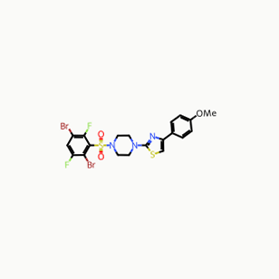 COc1ccc(-c2csc(N3CCN(S(=O)(=O)c4c(F)c(Br)cc(F)c4Br)CC3)n2)cc1